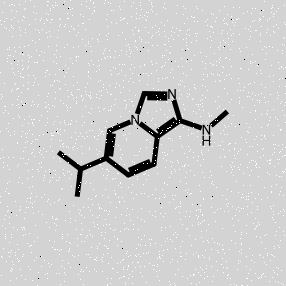 CNc1ncn2cc(C(C)C)ccc12